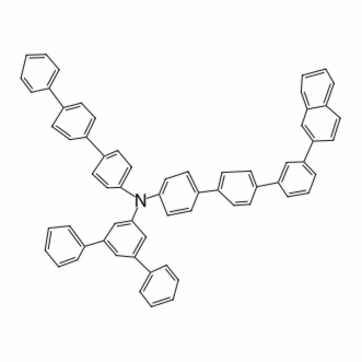 c1ccc(-c2ccc(-c3ccc(N(c4ccc(-c5ccc(-c6cccc(-c7ccc8ccccc8c7)c6)cc5)cc4)c4cc(-c5ccccc5)cc(-c5ccccc5)c4)cc3)cc2)cc1